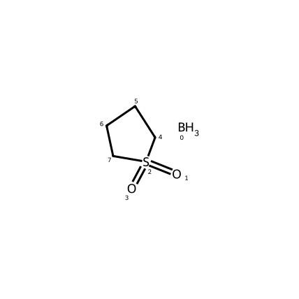 B.O=S1(=O)CCCC1